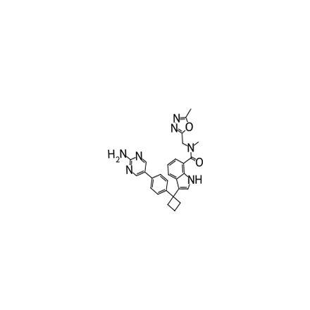 Cc1nnc(CN(C)C(=O)c2cccc3c(C4(c5ccc(-c6cnc(N)nc6)cc5)CCC4)c[nH]c23)o1